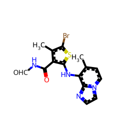 Cc1ccn2ccnc2c1Nc1sc(Br)c(C)c1C(=O)NC=O